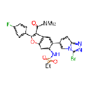 CCS(=O)(=O)Nc1cc2oc(-c3ccc(F)cc3)c(C(=O)NC)c2cc1-c1ccc2nnc(Br)n2c1